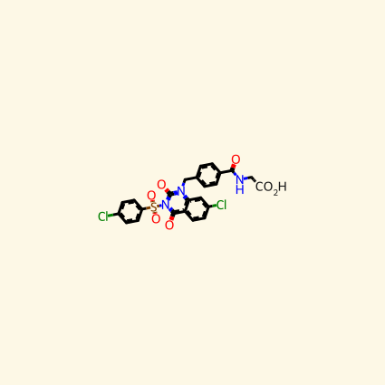 O=C(O)CNC(=O)c1ccc(Cn2c(=O)n(S(=O)(=O)c3ccc(Cl)cc3)c(=O)c3ccc(Cl)cc32)cc1